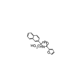 CCCC(NC(=O)c1ccco1)(C(=O)O)c1ccc2ccccc2c1